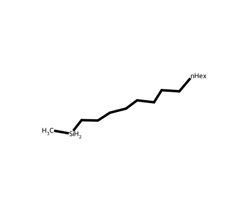 CCCCCCCCCCCCCC[SiH2]C